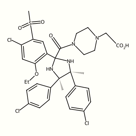 CCOc1cc(Cl)c(S(C)(=O)=O)cc1C1(C(=O)N2CCN(CC(=O)O)CC2)N[C@@](C)(c2ccc(Cl)cc2)[C@@](C)(c2ccc(Cl)cc2)N1